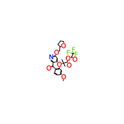 COc1ccc(C(=O)c2ccc(OCC3CCCO3)nc2)c(OC(C)(C)C(=O)OC(=O)C(F)(F)F)c1